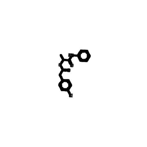 CC(OC(=O)Cc1ccc(Cl)cc1)C(=O)Nc1ccccc1